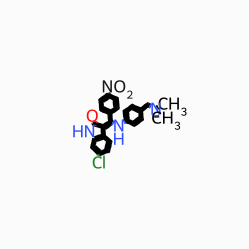 CN(C)Cc1ccc(NC(=C2C(=O)Nc3cc(Cl)ccc32)c2ccc([N+](=O)[O-])cc2)cc1